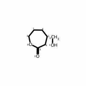 CO.O=C1CCCCCO1